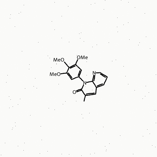 COc1cc(-n2c(=O)c(C)cc3cccnc32)cc(OC)c1OC